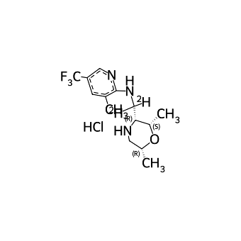 Cl.[2H]C([2H])(Nc1ncc(C(F)(F)F)cc1C)[C@H]1NC[C@@H](C)O[C@H]1C